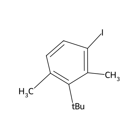 Cc1ccc(I)c(C)c1C(C)(C)C